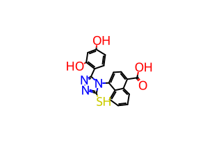 O=C(O)c1ccc(-n2c(S)nnc2-c2ccc(O)cc2O)c2ccccc12